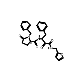 O=C(NCc1ccco1)C(=O)C(Cc1ccccc1)NC(=O)[C@H]1CCC(=O)N1Cc1ccccc1